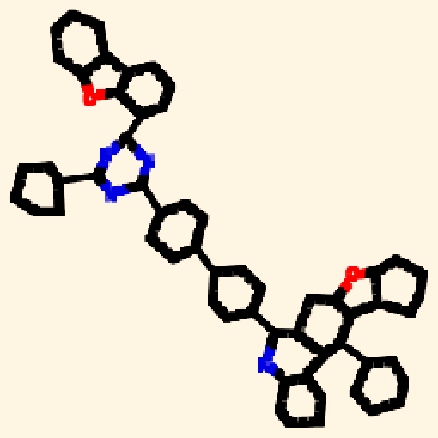 c1ccc(-c2nc(-c3ccc(-c4ccc(-c5nc6ccccc6c6c(-c7ccccc7)c7c(cc56)oc5ccccc57)cc4)cc3)nc(-c3cccc4c3oc3ccccc34)n2)cc1